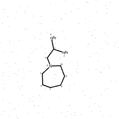 CCCC(CCC)CN1CCCCCC1